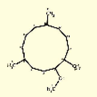 COC1CCC(C)CCCC(C)CCCC1C